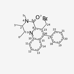 CCC(C)N(C)C(=O)c1nc2ccccc2c(-c2ccccc2)c1CBr